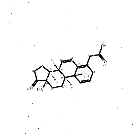 C[C@]12C=CCC(CC(=O)O)=C1C=C[C@@H]1[C@@H]2CC[C@]2(C)C(=O)CC[C@@H]12